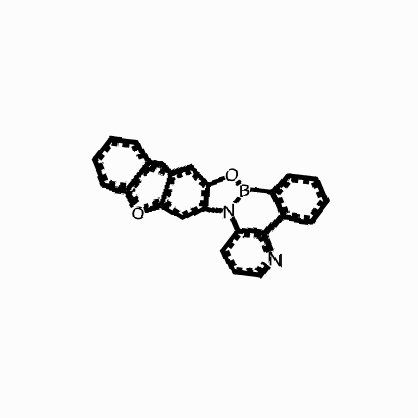 c1ccc2c(c1)B1Oc3cc4c(cc3N1c1cccnc1-2)oc1ccccc14